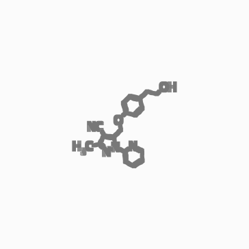 Cc1nn(-c2ccccn2)c(COc2ccc(CCO)cc2)c1C#N